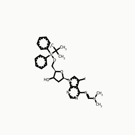 CN(C)/C=N/c1ncnc2c1c(I)cn2[C@H]1CC(O)[C@@H](CO[Si](c2ccccc2)(c2ccccc2)C(C)(C)C)O1